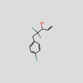 [CH]=CC(O)C(F)(F)Cc1ccc(F)cc1